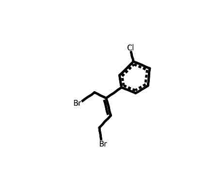 Clc1cccc(/C(=C/CBr)CBr)c1